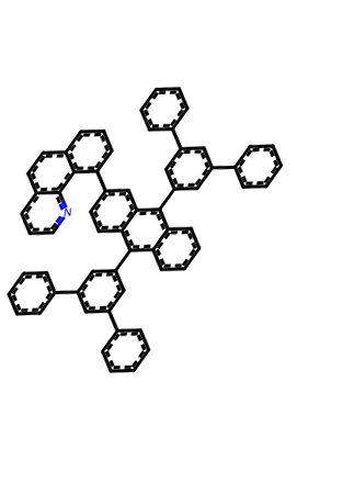 c1ccc(-c2cc(-c3ccccc3)cc(-c3c4ccccc4c(-c4cc(-c5ccccc5)cc(-c5ccccc5)c4)c4cc(-c5cccc6ccc7cccnc7c56)ccc34)c2)cc1